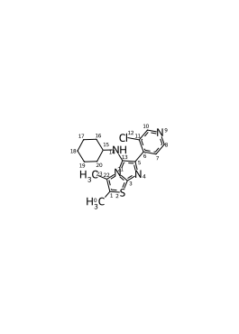 Cc1sc2nc(-c3ccncc3Cl)c(NC3CCCCC3)n2c1C